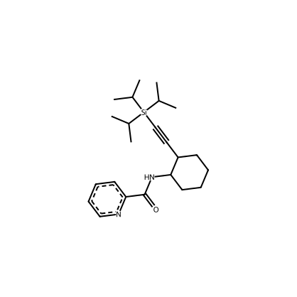 CC(C)[Si](C#CC1CCCCC1NC(=O)c1ccccn1)(C(C)C)C(C)C